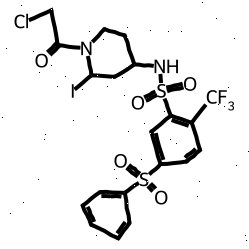 O=C(CCl)N1CCC(NS(=O)(=O)c2cc(S(=O)(=O)c3ccccc3)ccc2C(F)(F)F)CC1I